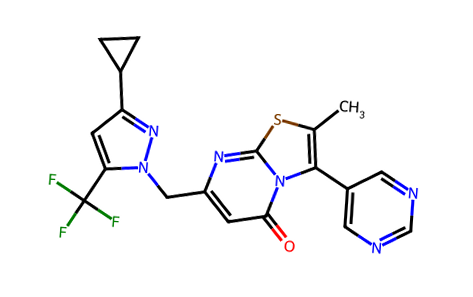 Cc1sc2nc(Cn3nc(C4CC4)cc3C(F)(F)F)cc(=O)n2c1-c1cncnc1